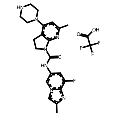 Cc1cc(N2CCNCC2)c2c(n1)N(C(=O)Nc1cc(F)c3nc(C)cn3c1)CC2.O=C(O)C(F)(F)F